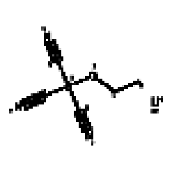 CCO[B-](C#N)(C#N)C#N.[Li+]